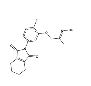 CC(COc1cc(N2C(=O)C3=C(CCCC3)C2=O)ccc1Cl)=NO